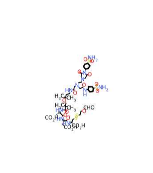 CC(C)(CCNC(=O)CN(CCN1CC(=O)N(c2ccc(S(N)(=O)=O)cc2)C(=O)C1)CC(=O)Nc1ccc(S(N)(=O)=O)cc1)OCC(C)(C)C(=O)N[C@@H](CC(=O)O)C(=O)N[C@@H](CC(=O)O)C(=O)N[C@@H](CSSCCOC=O)C(=O)O